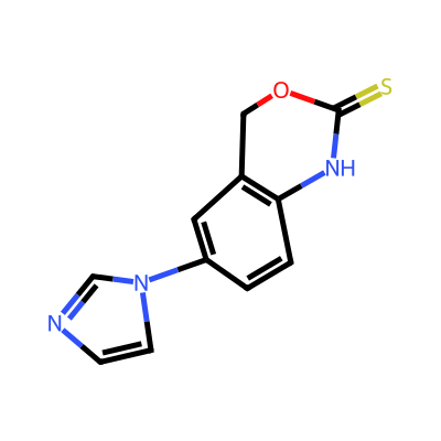 S=C1Nc2ccc(-n3ccnc3)cc2CO1